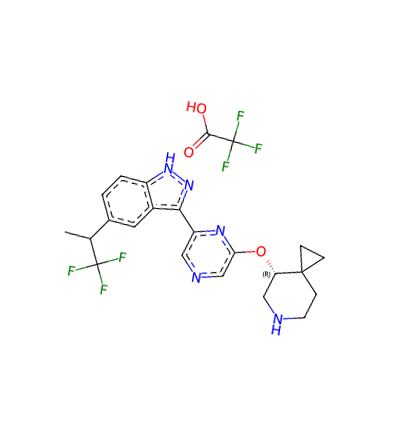 CC(c1ccc2[nH]nc(-c3cncc(O[C@H]4CNCCC45CC5)n3)c2c1)C(F)(F)F.O=C(O)C(F)(F)F